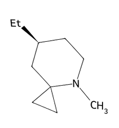 CC[C@H]1CCN(C)C2(CC2)C1